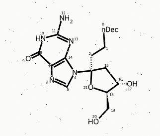 CCCCCCCCCCCC[C@]1(n2cnc3c(=O)[nH]c(N)nc32)C[C@H](O)[C@@H](CO)O1